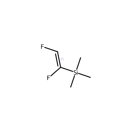 C[Si](C)(C)/C(F)=C/F